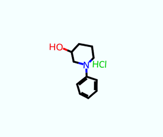 Cl.OC1CCCN(c2ccccc2)C1